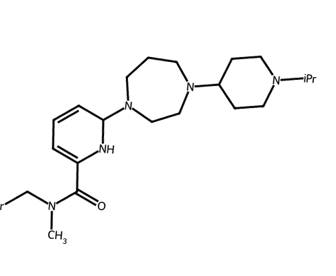 CC(C)CN(C)C(=O)C1=CC=CC(N2CCCN(C3CCN(C(C)C)CC3)CC2)N1